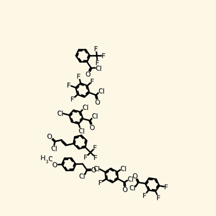 COc1ccc(CC(=O)Cl)cc1.O=C(Cl)C=Cc1cccc(C(F)(F)F)c1.O=C(Cl)c1c(Cl)cc(Cl)cc1Cl.O=C(Cl)c1cc(F)c(Cl)cc1Cl.O=C(Cl)c1cc(F)c(F)c(F)c1F.O=C(Cl)c1ccc(F)c(F)c1F.O=C(Cl)c1ccccc1C(F)(F)F